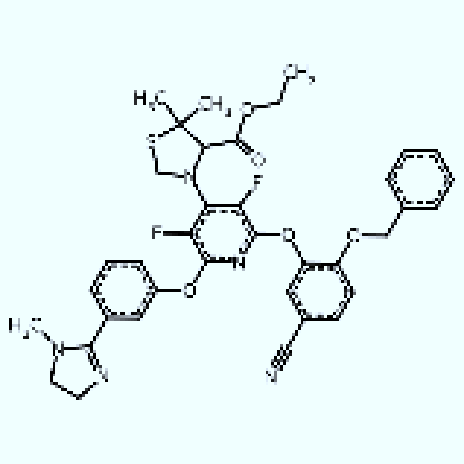 CCOC(=O)C1N(c2c(F)c(Oc3cccc(C4=NCCN4C)c3)nc(Oc3cc(C#N)ccc3OCc3ccccc3)c2F)CSC1(C)C